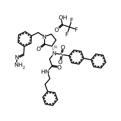 NN=Cc1cccc(CN2CC[C@H](N(CC(=O)NCCc3ccccc3)S(=O)(=O)c3ccc(-c4ccccc4)cc3)C2=O)c1.O=C(O)C(F)(F)F